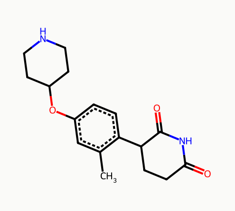 Cc1cc(OC2CCNCC2)ccc1C1CCC(=O)NC1=O